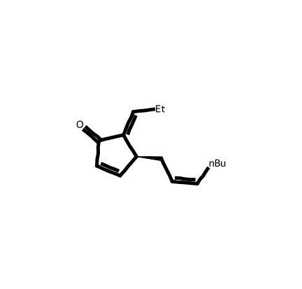 CC/C=C1/C(=O)C=C[C@@H]1C/C=C\CCCC